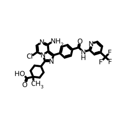 CC1(C(=O)O)CCC(c2nc(-c3ccc(C(=O)Nc4cc(C(F)(F)F)ccn4)cc3)c3c(N)ncc(Cl)n23)CC1